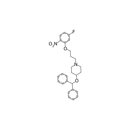 O=[N+]([O-])c1ccc(F)cc1OCCCN1CCC(OC(c2ccccc2)c2ccccc2)CC1